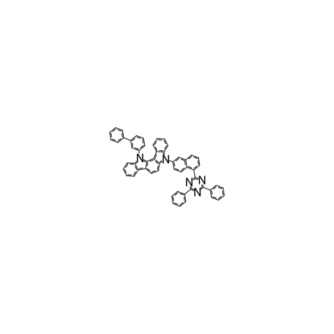 c1ccc(-c2cccc(-n3c4ccccc4c4ccc5c(c6ccccc6n5-c5ccc6c(-c7nc(-c8ccccc8)nc(-c8ccccc8)n7)cccc6c5)c43)c2)cc1